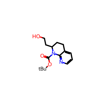 CC(C)(C)OC(=O)N1c2ncccc2CCC1CCO